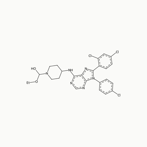 CCOC(O)N1CCC(Nc2ncnc3c2nc(-c2ccc(Cl)cc2Cl)n3-c2ccc(Cl)cc2)CC1